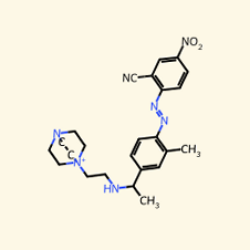 Cc1cc(C(C)NCC[N+]23CCN(CC2)CC3)ccc1N=Nc1ccc([N+](=O)[O-])cc1C#N